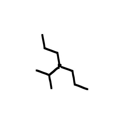 CCCP(CCC)C(C)C